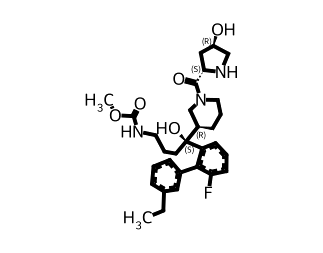 CCc1cccc(-c2c(F)cccc2[C@](O)(CCCNC(=O)OC)[C@@H]2CCCN(C(=O)[C@@H]3C[C@@H](O)CN3)C2)c1